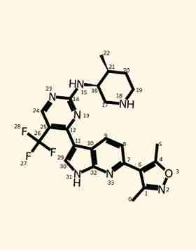 Cc1noc(C)c1-c1ccc2c(-c3nc(N[C@@H]4CNCC[C@@H]4C)ncc3C(F)(F)F)c[nH]c2n1